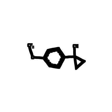 N#CC1(c2ccc(OC(F)(F)F)cc2)CC1